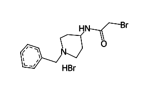 Br.O=C(CBr)NC1CCN(Cc2ccccc2)CC1